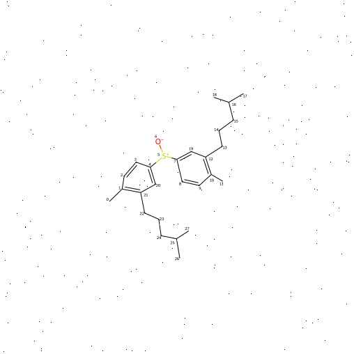 Cc1ccc([S+]([O-])c2ccc(C)c(CCCC(C)C)c2)cc1CCCC(C)C